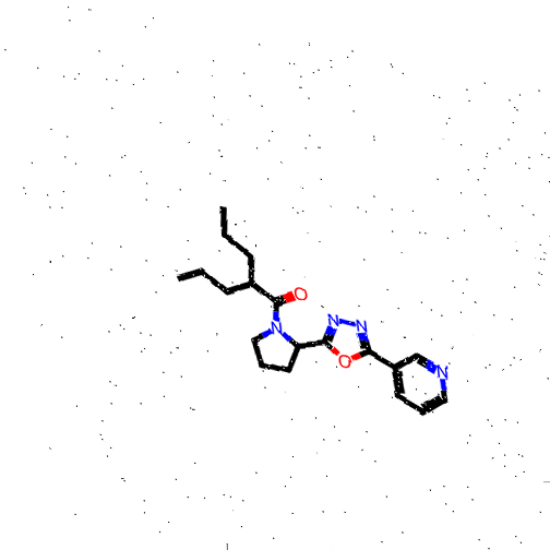 CCCC(CCC)C(=O)N1CCCC1c1nnc(-c2cccnc2)o1